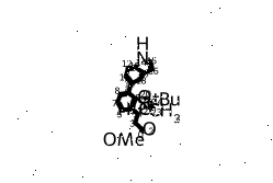 COC(=O)CCc1cccc(-c2ccc3[nH]ccc3c2)c1O[Si](C)(C)C(C)(C)C